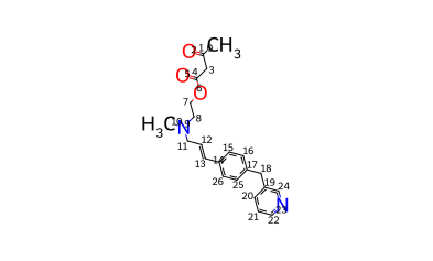 CC(=O)CC(=O)OCCN(C)CC=Cc1ccc(Cc2cccnc2)cc1